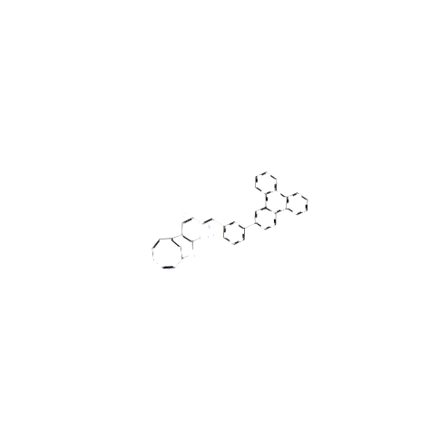 CC1=C(/C=C\C=C\c2cccc(-c3ccc4c5ccccc5c5ccccc5c4c3)c2)C2=CC(/C=C\C/C=C\2)S1